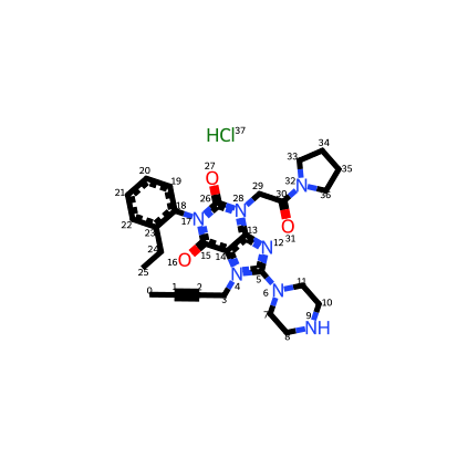 CC#CCn1c(N2CCNCC2)nc2c1c(=O)n(-c1ccccc1CC)c(=O)n2CC(=O)N1CCCC1.Cl